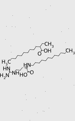 CCCCCCCCCCC(CC)C(=O)O.CCCCCCCCCCCCN[C@@H](CCCNC(=N)N)C(=O)O